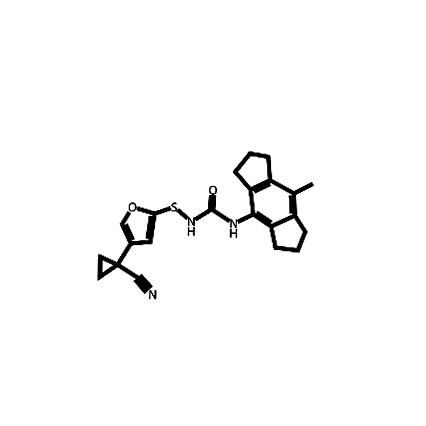 Cc1c2c(c(NC(=O)NSc3cc(C4(C#N)CC4)co3)c3c1CCC3)CCC2